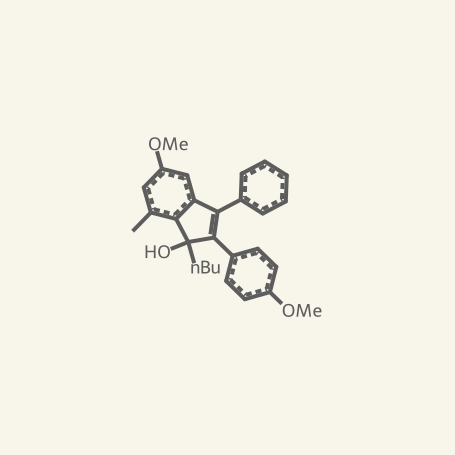 CCCCC1(O)C(c2ccc(OC)cc2)=C(c2ccccc2)c2cc(OC)cc(C)c21